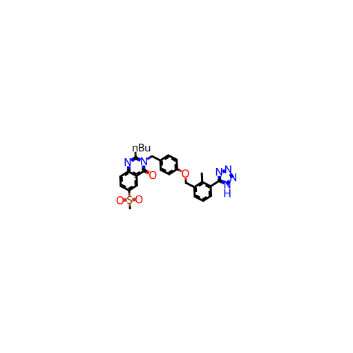 CCCCc1nc2ccc(S(C)(=O)=O)cc2c(=O)n1Cc1ccc(OCc2cccc(-c3nnn[nH]3)c2C)cc1